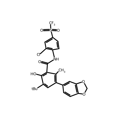 Cc1c(-c2ccc3c(c2)OCO3)cc(C(C)(C)C)c(O)c1C(=O)Nc1ccc(S(=O)(=O)C(F)(F)F)cc1Cl